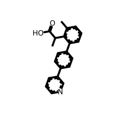 Cc1cccc(-c2ccc(-c3cccnc3)cc2)c1C(C)C(=O)O